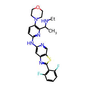 CCNC(C)c1nc(Nc2cc3nc(-c4c(F)cccc4F)sc3cn2)ccc1N1CCOCC1